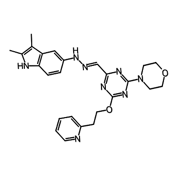 Cc1[nH]c2ccc(NN=Cc3nc(OCCc4ccccn4)nc(N4CCOCC4)n3)cc2c1C